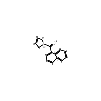 O=C(c1cccc2ccccc12)N1CC=CC1